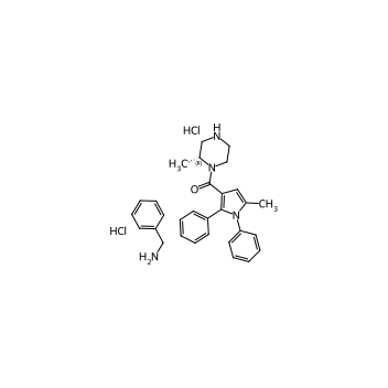 Cc1cc(C(=O)N2CCNC[C@H]2C)c(-c2ccccc2)n1-c1ccccc1.Cl.Cl.NCc1ccccc1